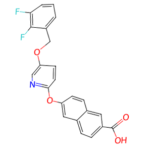 O=C(O)c1ccc2cc(Oc3ccc(OCc4cccc(F)c4F)cn3)ccc2c1